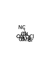 COc1ccccc1N(C)C(=O)c1cc(Br)c(Cl)cc1OCCCC#N